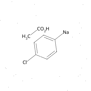 CC(=O)O.[Na][c]1ccc(Cl)cc1